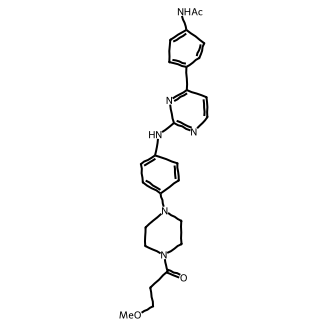 COCCC(=O)N1CCN(c2ccc(Nc3nccc(-c4ccc(NC(C)=O)cc4)n3)cc2)CC1